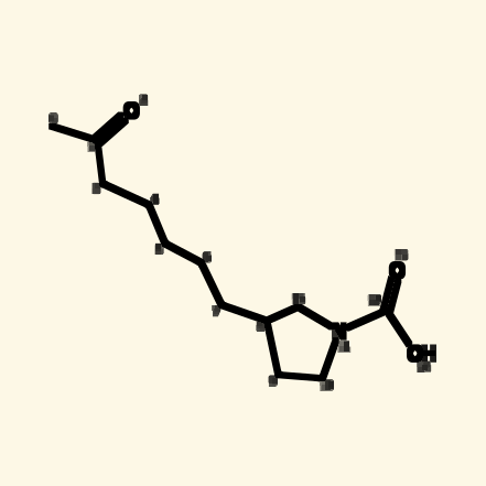 CC(=O)CCCCCC1CCN(C(=O)O)C1